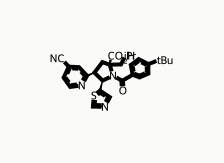 CC(C)C[C@@]1(C(=O)O)C[C@H](c2cc(C#N)ccn2)[C@H](c2cncs2)N1C(=O)c1ccc(C(C)(C)C)cc1